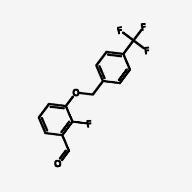 O=Cc1cccc(OCc2ccc(C(F)(F)F)cc2)c1F